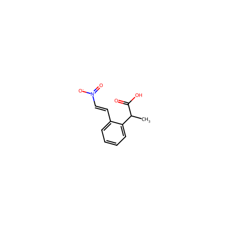 CC(C(=O)O)c1ccccc1C=C[N+](=O)[O-]